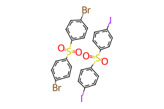 O=S(=O)(c1ccc(Br)cc1)c1ccc(Br)cc1.O=S(=O)(c1ccc(I)cc1)c1ccc(I)cc1